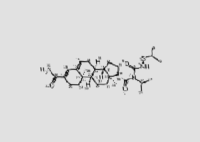 CC(C)SNC(=O)N(C(=O)[C@H]1CC[C@H]2[C@@H]3CC=C4C=C(C(N)=O)CC[C@]4(C)[C@H]3CC[C@]12C)C(C)C